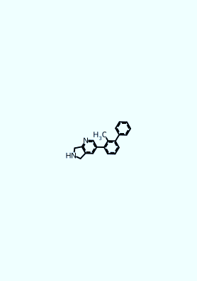 Cc1c(-c2ccccc2)cccc1-c1cnc2c(c1)CNC2